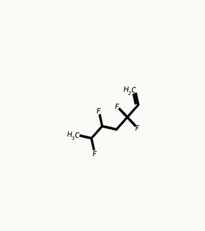 C=CC(F)(F)CC(F)C(C)F